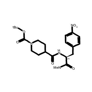 CNC(=O)[C@H](Cc1ccc([N+](=O)[O-])cc1)NC(=O)C1CCN(C(=O)OC(C)(C)C)CC1